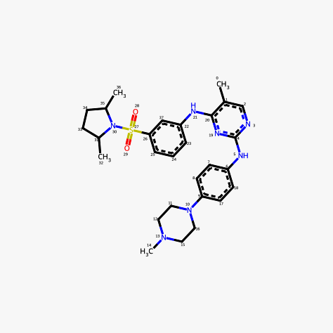 Cc1cnc(Nc2ccc(N3CCN(C)CC3)cc2)nc1Nc1cccc(S(=O)(=O)N2C(C)CCC2C)c1